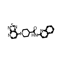 O=C(Nc1ccc2ccccc2n1)C1CCN(c2ccnc3nsnc23)CC1